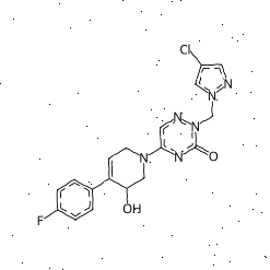 O=c1nc(N2CC=C(c3ccc(F)cc3)C(O)C2)cnn1Cn1cc(Cl)cn1